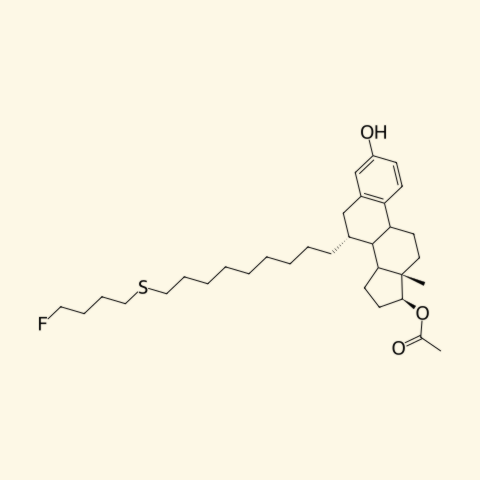 CC(=O)O[C@H]1CCC2C3C(CC[C@@]21C)c1ccc(O)cc1C[C@H]3CCCCCCCCCSCCCCF